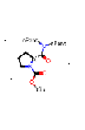 CCCCCN(CCCCC)C(=O)[C@H]1CCCN1C(=O)OC(C)(C)C